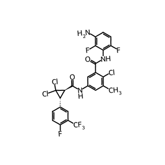 Cc1cc(NC(=O)[C@H]2[C@H](c3ccc(F)c(C(F)(F)F)c3)C2(Cl)Cl)cc(C(=O)Nc2c(F)ccc(N)c2F)c1Cl